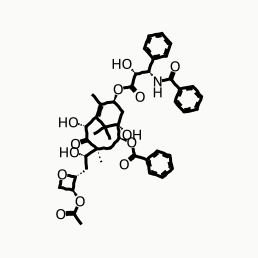 CC(=O)O[C@H]1CO[C@@H]1C[C@H](O)[C@]1(C)C[C@H](OC(=O)c2ccccc2)[C@]2(O)C[C@H](OC(=O)[C@H](O)[C@@H](NC(=O)c3ccccc3)c3ccccc3)C(C)=C([C@@H](O)C1=O)C2(C)C